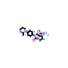 CC1=NCCCN1c1ccc(N2C[C@@]3(C(N)=O)[CH]CCN3C2=O)cc1